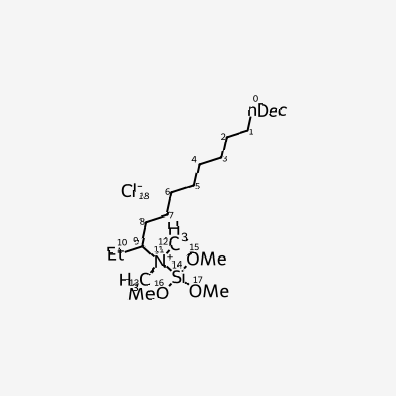 CCCCCCCCCCCCCCCCCCC(CC)[N+](C)(C)[Si](OC)(OC)OC.[Cl-]